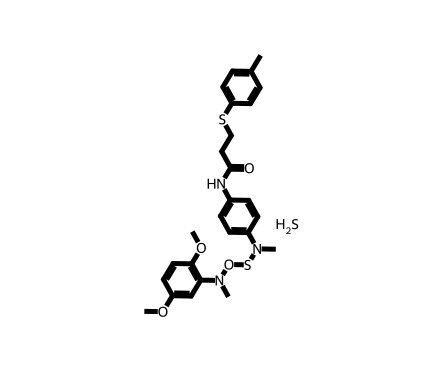 COc1ccc(OC)c(N(C)OSN(C)c2ccc(NC(=O)CCSc3ccc(C)cc3)cc2)c1.S